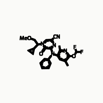 COCC(C1CC1)n1cc(C#N)nc(N(c2ccccc2)c2cc(C)c(OC(F)F)nc2C)c1=O